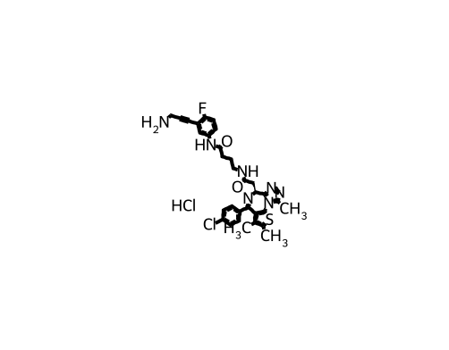 Cc1sc2c(c1C)C(c1ccc(Cl)cc1)=N[C@@H](CC(=O)NCCCC(=O)Nc1ccc(F)c(C#CCN)c1)c1nnc(C)n1-2.Cl